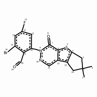 CC1(C)Cc2sc3c(=O)n(-c4cc(F)cc(Br)c4C=O)ncc3c2C1